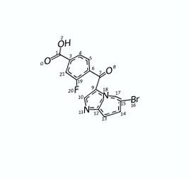 O=C(O)c1ccc(C(=O)c2cnc3ccc(Br)cn23)c(F)c1